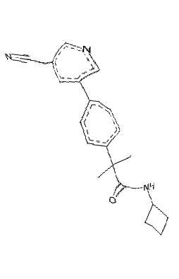 CC(C)(C(=O)NC1CCC1)c1ccc(-c2cncc(C#N)c2)cc1